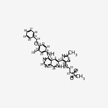 Cc1nc(-c2cc3c(Nc4ccc(OCc5ccccc5)c(I)c4)ncnc3cn2)c(NCCS(C)(=O)=O)s1